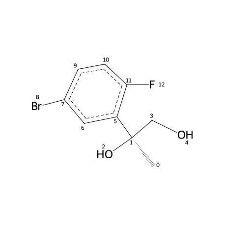 C[C@@](O)(CO)c1cc(Br)ccc1F